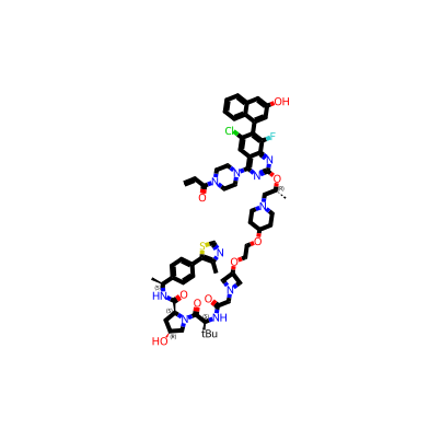 C=CC(=O)N1CCN(c2nc(O[C@H](C)CN3CCC(OCCOC4CN(CC(=O)N[C@H](C(=O)N5C[C@H](O)C[C@H]5C(=O)N[C@@H](C)c5ccc(-c6scnc6C)cc5)C(C)(C)C)C4)CC3)nc3c(F)c(-c4cc(O)cc5ccccc45)c(Cl)cc23)CC1